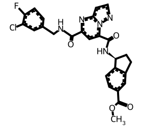 COC(=O)c1ccc2c(c1)CC[C@@H]2NC(=O)c1cc(C(=O)NCc2ccc(F)c(Cl)c2)nc2ccnn12